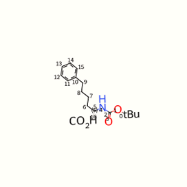 CC(C)(C)OC(=O)N[C@@H](CCCCc1ccccc1)C(=O)O